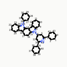 c1ccc(-c2cc(-n3c4ccccc4c4c3ccc3c5ccccc5n(-c5ccccc5)c34)cc(-c3ccccc3)n2)cc1